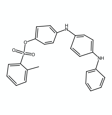 Cc1ccccc1S(=O)(=O)Oc1ccc(Nc2ccc(Nc3ccccc3)cc2)cc1